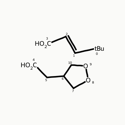 CC(C)(C)C=CC(=O)O.O=C(O)CC1COOC1